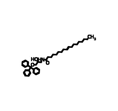 CCCCCCCCC=CCCCCCCCC(=O)NCC(O)COC(c1ccccc1)(c1ccccc1)c1ccccc1